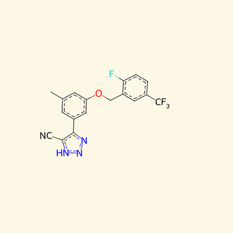 Cc1cc(OCc2cc(C(F)(F)F)ccc2F)cc(-c2nn[nH]c2C#N)c1